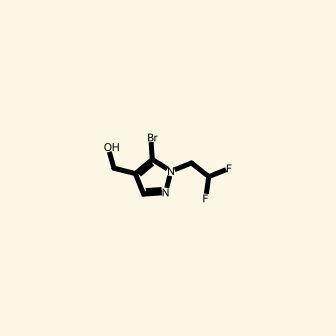 OCc1cnn(CC(F)F)c1Br